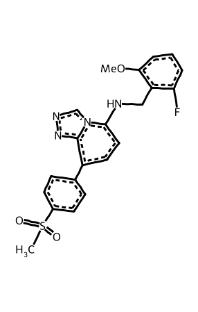 COc1cccc(F)c1CNc1ccc(-c2ccc(S(C)(=O)=O)cc2)c2nncn12